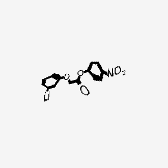 O=C(COc1cccc(Cl)c1)Oc1ccc([N+](=O)[O-])cc1